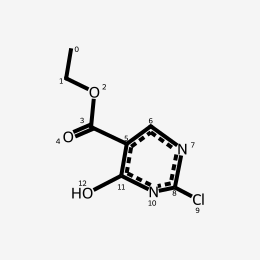 CCOC(=O)c1cnc(Cl)nc1O